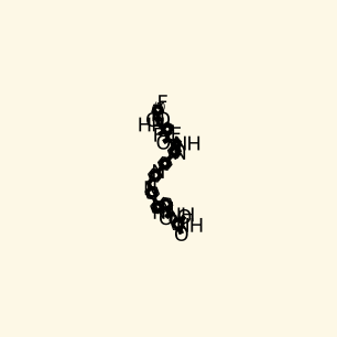 O=C1CC[C@H](NC(=O)N2CCCc3c(C4CCN(CC5CCN(c6ccc(-c7cnc8[nH]cc(C(=O)c9c(F)ccc(NS(=O)(=O)N%10CC[C@@H](F)C%10)c9F)c8c7)cc6)CC5)CC4)ccnc32)C(=O)N1